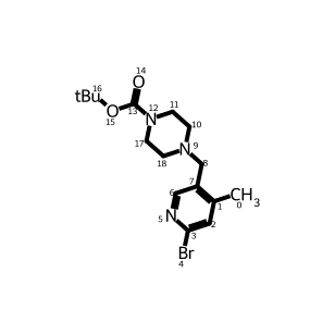 Cc1cc(Br)ncc1CN1CCN(C(=O)OC(C)(C)C)CC1